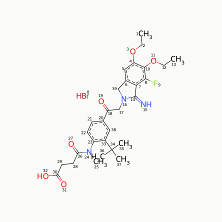 Br.CCOc1cc2c(c(F)c1OCC)C(=N)N(CC(=O)c1ccc(N(C)C(=O)CCC(=O)O)c(C(C)(C)C)c1)C2